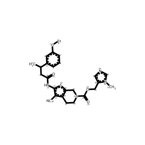 CCOc1cccc(C(C)CC(=O)Nc2sc3c(c2C#N)CCN(C(=O)OCc2cncn2C)C3)c1